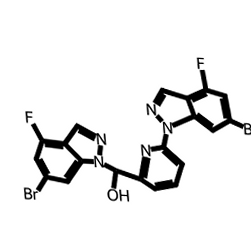 OC(c1cccc(-n2ncc3c(F)cc(Br)cc32)n1)n1ncc2c(F)cc(Br)cc21